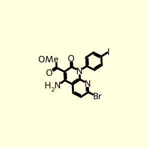 COC(=O)c1c(N)c2ccc(Br)nc2n(-c2ccc(I)cc2)c1=O